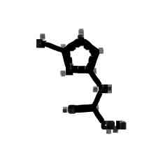 CCOC(=O)C(=O)Nc1csc(Br)n1